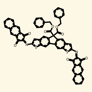 O=C(OCc1ccccc1)C1(C(=O)OCc2ccccc2)c2cc3cc(N=c4c(=O)c5cc6ccccc6cc5c4=O)sc3cc2-c2cc3sc(N=c4c(=O)c5cc6ccccc6cc5c4=O)cc3cc21